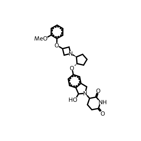 COc1ccccc1OC1CN([C@H]2CCC[C@@H]2Oc2ccc3c(c2)CN(C2CCC(=O)NC2=O)C3O)C1